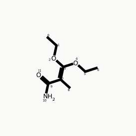 CCOC(OCC)=C(C)C(N)=O